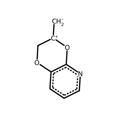 [CH2-][C+]1COc2cccnc2O1